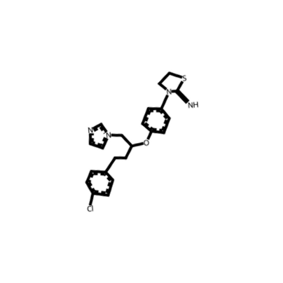 N=C1SCCN1c1ccc(OC(CCc2ccc(Cl)cc2)Cn2ccnc2)cc1